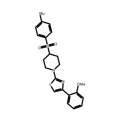 COc1ccccc1-c1csc(N2CCC(S(=O)(=O)c3ccc(C(C)(C)C)cc3)CC2)n1